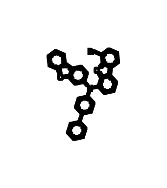 Brc1cccc2c1oc1c(N(c3ccc(-c4ccccc4)cc3)c3ccc4c(c3)oc3ccccc34)cccc12